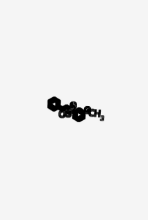 COc1cccc(S(=O)(=O)CC(=O)c2ccccc2)c1